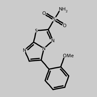 COc1ccccc1-c1cnc2sc(S(N)(=O)=O)nn12